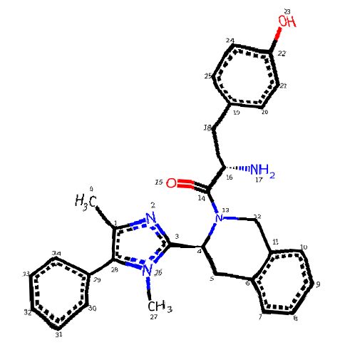 Cc1nc([C@@H]2Cc3ccccc3CN2C(=O)[C@@H](N)Cc2ccc(O)cc2)n(C)c1-c1ccccc1